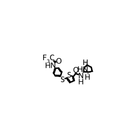 O=C(N[C@@H]1C[C@H]2CC[C@@H]1N2)c1ccc(Sc2ccc(NC(=O)C(F)(F)F)cc2)s1